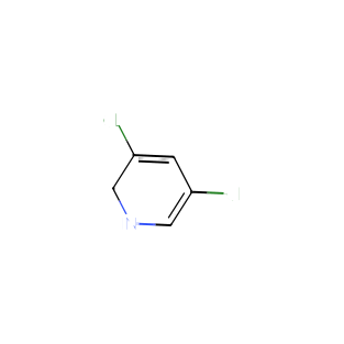 ClC1=[C]C(Cl)=CNC1